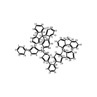 c1ccc(-c2ccc(N(c3ccc(-c4ccccc4-c4ccc5c(c4)c4ccccc4n5-c4cccc5sc6ccccc6c45)cc3)c3ccc4c(c3)C3(c5ccccc5-c5ccccc53)c3ccccc3-4)cc2)cc1